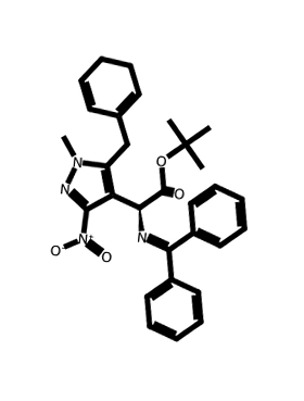 Cn1nc([N+](=O)[O-])c([C@H](N=C(c2ccccc2)c2ccccc2)C(=O)OC(C)(C)C)c1CC1=CCCC=C1